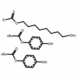 CCCCC(=O)Oc1ccc(O)cc1.CCCCC(=O)Oc1ccc(O)cc1.CCCCCCCCCCCCCCCCCCOC(=S)CC